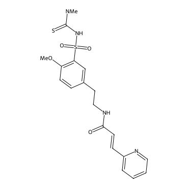 CNC(=S)NS(=O)(=O)c1cc(CCNC(=O)C=Cc2ccccn2)ccc1OC